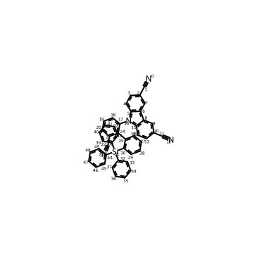 N#Cc1ccc2c(c1)c1cc(C#N)ccc1n2-c1cccc(C#N)c1-c1ccccc1[Si](c1ccccc1)(c1ccccc1)c1ccccc1